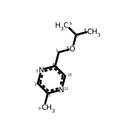 Cc1cnc(COC(C)C)cn1